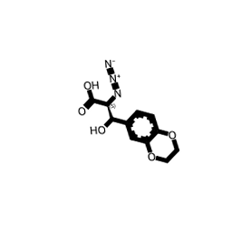 [N-]=[N+]=N[C@H](C(=O)O)C(O)c1ccc2c(c1)OCCO2